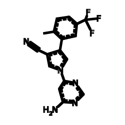 Cc1ccc(C(F)(F)F)cc1-c1cn(-c2cc(N)ncn2)cc1C#N